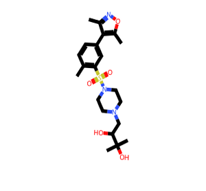 Cc1ccc(-c2c(C)noc2C)cc1S(=O)(=O)N1CCN(CC(O)C(C)(C)O)CC1